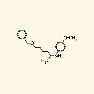 COc1ccc([SiH2]C(C)CCCCOCc2ccccc2)cc1